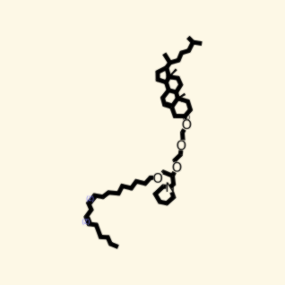 CCCCC/C=C\C/C=C\CCCCCCCCOCC(CN1CCCCC1)OCCOCCO[C@@H]1CC[C@]2(C)C(=CCC3C4CCC(C(C)CCCC(C)C)[C@]4(C)CCC32)C1